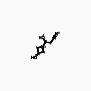 N#CCC(O)N1CC(O)C1